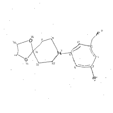 Fc1cc(Br)cc(N2CCC3(CC2)OCCO3)c1